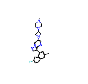 Cc1cc(-c2cnn3cc(N4CC(N5CCN(C)CC5)C4)cnc23)c2cc(F)ccc2c1